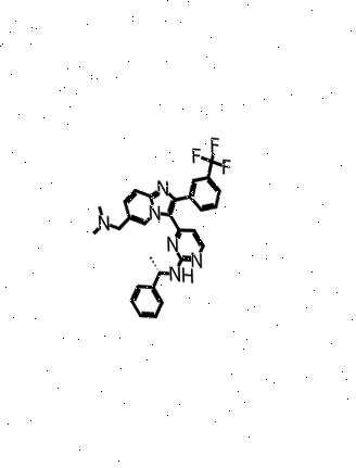 C[C@H](Nc1nccc(-c2c(-c3cccc(C(F)(F)F)c3)nc3ccc(CN(C)C)cn23)n1)c1ccccc1